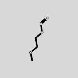 COCCOP=O